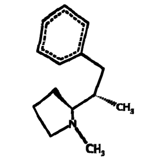 C[C@@H](Cc1ccccc1)[C@@H]1CCCN1C